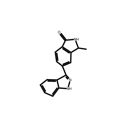 CC1NC(=O)c2ccc(-c3n[nH]c4ccccc34)cc21